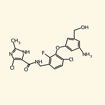 Cc1nc(Cl)c(C(=O)NCc2ccc(Cl)c(Oc3cc(N)cc(CO)c3)c2F)[nH]1